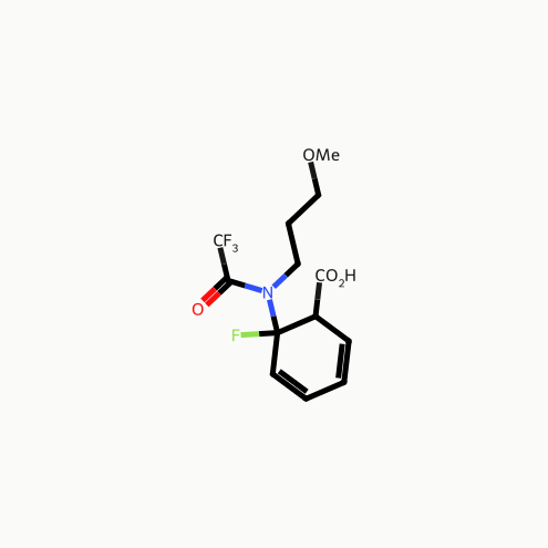 COCCCN(C(=O)C(F)(F)F)C1(F)C=CC=CC1C(=O)O